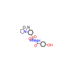 O=C(NNS(=O)(=O)c1ccc([N+](=O)[O-])c(N2CCCC2)c1)c1ccc(O)cc1